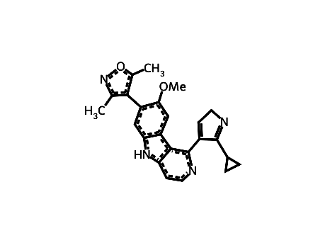 COc1cc2c(cc1-c1c(C)noc1C)[nH]c1ccnc(C3=CCN=C3C3CC3)c12